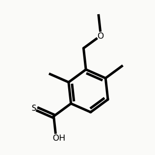 COCc1c(C)ccc(C(O)=S)c1C